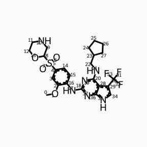 COc1cc(S(=O)(=O)C2CNCCO2)ccc1Nc1nc(NCC2CCCC2)c2c(C(F)(F)F)c[nH]c2n1